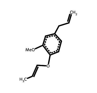 C=CCc1ccc(OC=CC)c(OC)c1